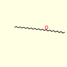 CCCCCCCCCCCCCCCCCC(=O)CCCCCCCCCC